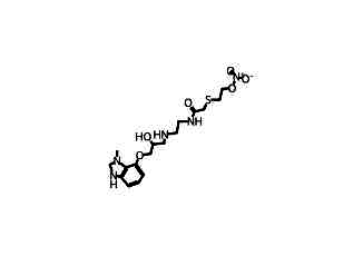 CN1CNc2cccc(OCC(O)CNCCNC(=O)CSCCO[N+](=O)[O-])c21